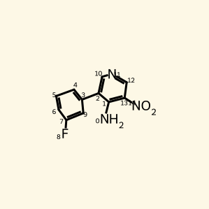 Nc1c(-c2cccc(F)c2)cncc1[N+](=O)[O-]